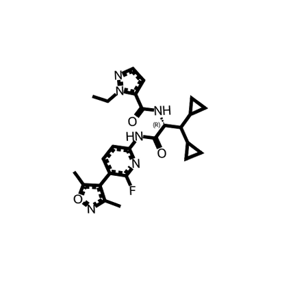 CCn1nccc1C(=O)N[C@@H](C(=O)Nc1ccc(-c2c(C)noc2C)c(F)n1)C(C1CC1)C1CC1